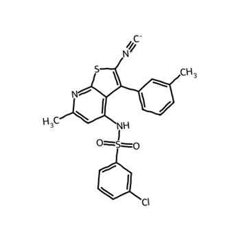 [C-]#[N+]c1sc2nc(C)cc(NS(=O)(=O)c3cccc(Cl)c3)c2c1-c1cccc(C)c1